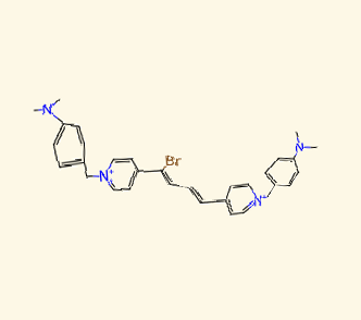 CN(C)c1ccc(C[n+]2ccc(C=CC=C(Br)c3cc[n+](Cc4ccc(N(C)C)cc4)cc3)cc2)cc1